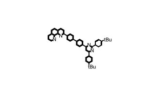 CC(C)(C)C1=CCC(c2nc(-c3ccc(-c4ccc(-c5ccc6ccc7cccnc7c6n5)cc4)cc3)cc(-c3ccc(C(C)(C)C)cc3)n2)C=C1